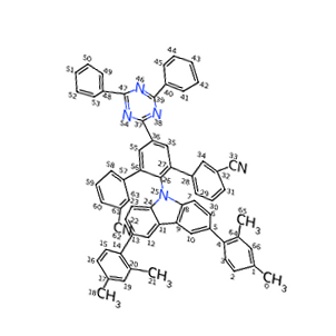 Cc1ccc(-c2ccc3c(c2)c2cc(-c4ccc(C)cc4C)ccc2n3-c2c(-c3cccc(C#N)c3)cc(-c3nc(-c4ccccc4)nc(-c4ccccc4)n3)cc2-c2cccc(C#N)c2)c(C)c1